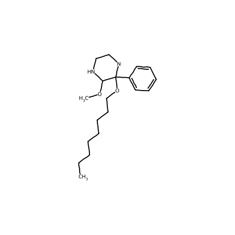 CCCCCCCCOC1(c2ccccc2)[N]CCNC1OC